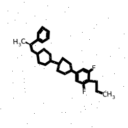 CCCc1c(F)cc(C2CCC(C3CCC(C[C@@H](C)c4ccccc4)CC3)CC2)cc1F